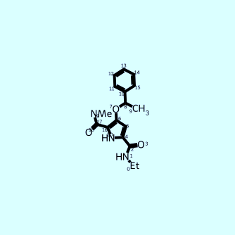 CCNC(=O)c1cc(OC(C)c2ccccc2)c(C(=O)NC)[nH]1